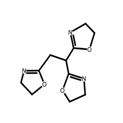 C1COC(CC(C2=NCCO2)C2=NCCO2)=N1